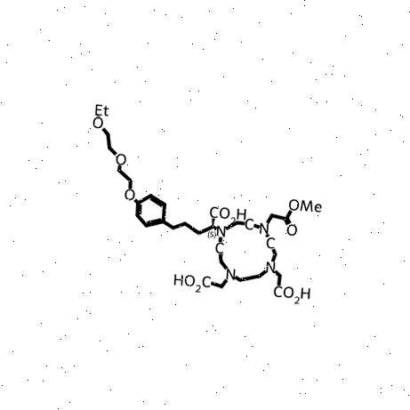 CCOCCOCCOc1ccc(CCC[C@@H](C(=O)O)N2CCN(CC(=O)O)CCN(CC(=O)O)CCN(CC(=O)OC)CC2)cc1